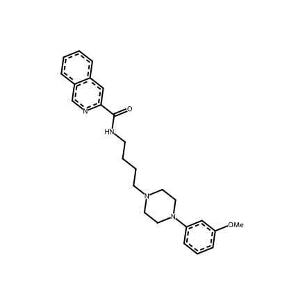 COc1cccc(N2CCN(CCCCNC(=O)c3cc4ccccc4cn3)CC2)c1